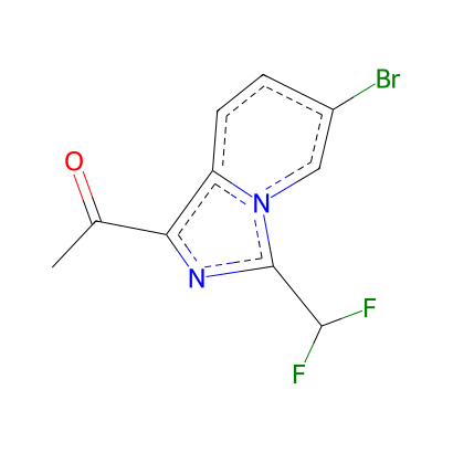 CC(=O)c1nc(C(F)F)n2cc(Br)ccc12